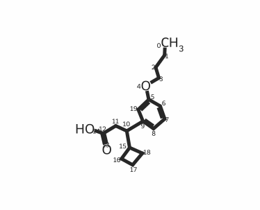 CCCCOc1cccc(C(CC(=O)O)C2CCC2)c1